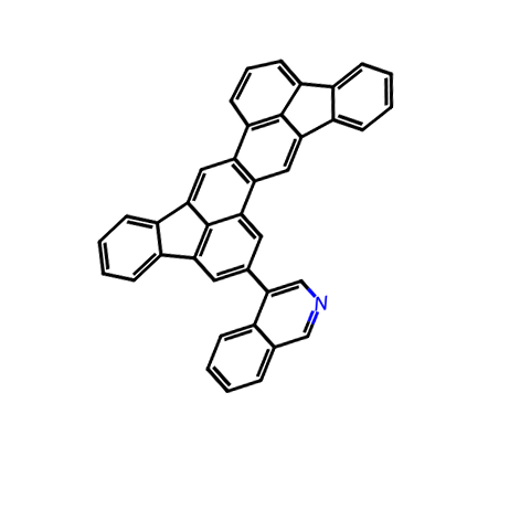 c1ccc2c(-c3cc4c5ccccc5c5cc6c(cc7c8ccccc8c8cccc6c87)c(c3)c45)cncc2c1